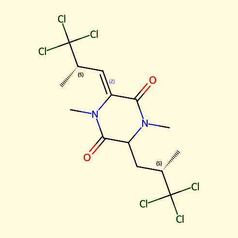 C[C@@H](/C=C1/C(=O)N(C)C(C[C@H](C)C(Cl)(Cl)Cl)C(=O)N1C)C(Cl)(Cl)Cl